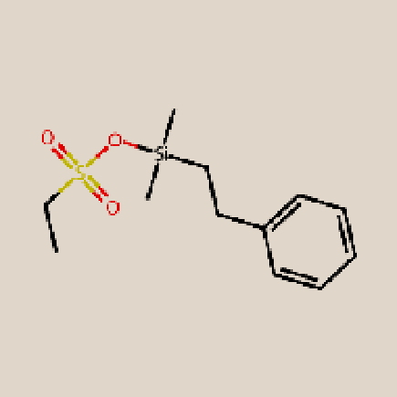 CCS(=O)(=O)O[Si](C)(C)CCc1ccccc1